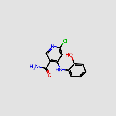 NC(=O)c1cnc(Cl)cc1Nc1ccccc1O